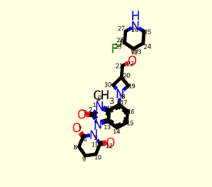 Cn1c(=O)n(N2C(=O)CCCC2=O)c2cccc(N3CC(CO[C@H]4CCNC[C@H]4F)C3)c21